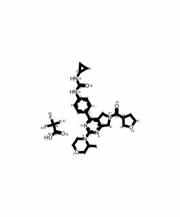 CC1COCCN1c1nc2c(c(-c3ccc(NC(=O)NC4CC4)cc3)n1)CN(C(=O)C1CCOC1)C2.O=C(O)C(F)(F)F